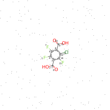 O=C(O)c1c(F)c(F)c(C(=O)O)c(Cl)c1F